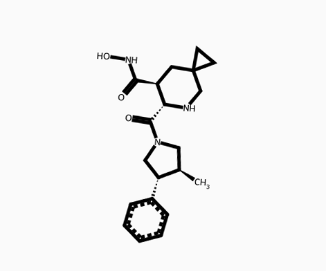 C[C@@H]1CN(C(=O)[C@H]2NCC3(CC3)C[C@@H]2C(=O)NO)C[C@H]1c1ccccc1